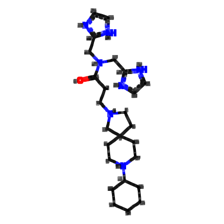 O=C(CCN1CCC2(CCN(C3CCCCC3)CC2)C1)N(Cc1ncc[nH]1)Cc1ncc[nH]1